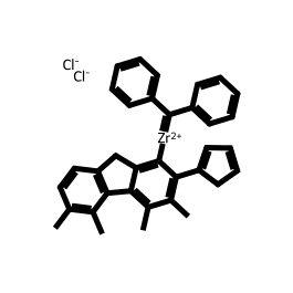 Cc1ccc2c(c1C)-c1c(C)c(C)c(C3=CC=CC3)[c]([Zr+2]=[C](c3ccccc3)c3ccccc3)c1C2.[Cl-].[Cl-]